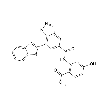 NC(=O)c1ccc(O)cc1NC(=O)c1cc(-c2cc3ccccc3s2)c2[nH]ncc2c1